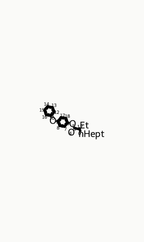 CCCCCCCC(CC)C(=O)Oc1ccc(Oc2ccccc2)cc1